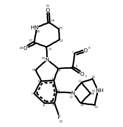 O=CC(=O)C1c2c(ccc(F)c2N2C3CNCC2C3)CN1C1CCC(=O)NC1=O